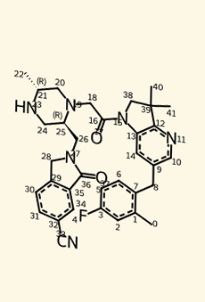 Cc1cc(F)ccc1Cc1cnc2c(c1)N(C(=O)CN1C[C@@H](C)NC[C@@H]1CN1Cc3ccc(C#N)cc3C1=O)CC2(C)C